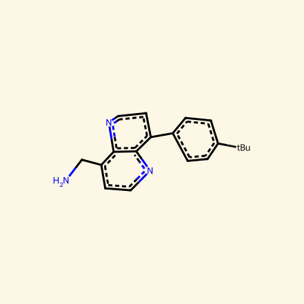 CC(C)(C)c1ccc(-c2ccnc3c(CN)ccnc23)cc1